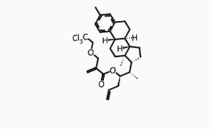 C=CC[C@@H](OC(=O)C(=C)COCC(Cl)(Cl)Cl)[C@@H](C)[C@H]1CC[C@H]2[C@@H]3CCc4cc(C)ccc4[C@H]3CC[C@]12C